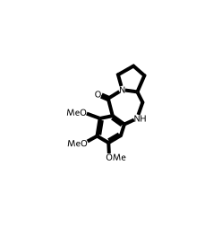 COc1cc2c(c(OC)c1OC)C(=O)N1CCCC1CN2